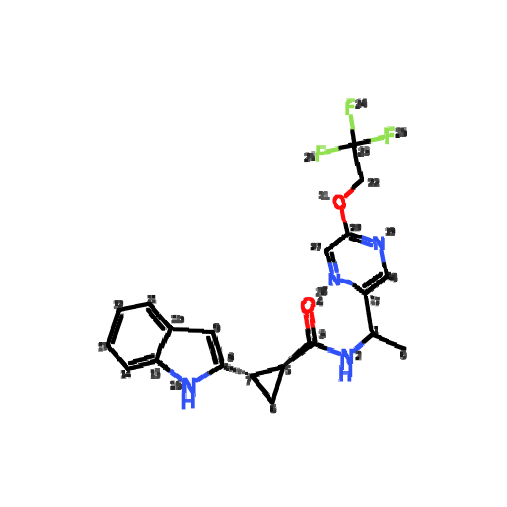 CC(NC(=O)[C@H]1C[C@@H]1c1cc2ccccc2[nH]1)c1cnc(OCC(F)(F)F)cn1